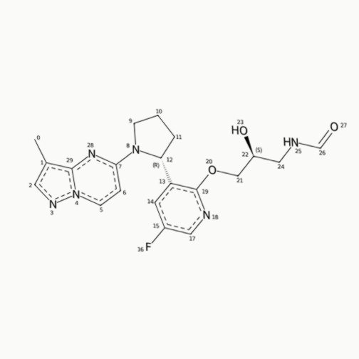 Cc1cnn2ccc(N3CCC[C@@H]3c3cc(F)cnc3OC[C@@H](O)CNC=O)nc12